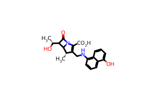 C[C@@H](O)C1C(=O)N2C(C(=O)O)=C(CNc3cccc4c(O)cccc34)[C@H](C)C12